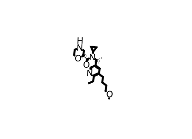 CCc1ncc([C@@H](C)N(C(=O)[C@H]2CNCCO2)C2CC2)cc1CCCCOC